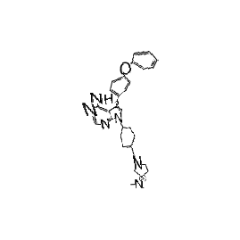 CN(C)[C@H]1CCN(C2CCC(n3cc(-c4ccc(Oc5ccccc5)cc4)c4c(N)ncnc43)CC2)C1